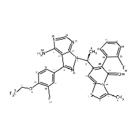 Cc1csc2cc([C@H](C)n3nc(-c4ccc(OCC(F)(F)F)c(F)c4)c4c(N)ncnc43)c(-c3ccccc3F)c(=O)n12